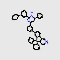 C1=C(c2cccc(-c3ccc4c(c3)C(c3ccccc3)(c3ccccc3)c3ccncc3-4)c2)N=C(c2cccc(-c3ccccc3)c2)NC1c1ccccc1